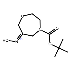 CC(C)(C)OC(=O)N1CCOC/C(=N\O)C1